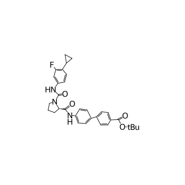 CC(C)(C)OC(=O)c1ccc(-c2ccc(NC(=O)[C@H]3CCCN3C(=O)Nc3ccc(C4CC4)c(F)c3)cc2)cc1